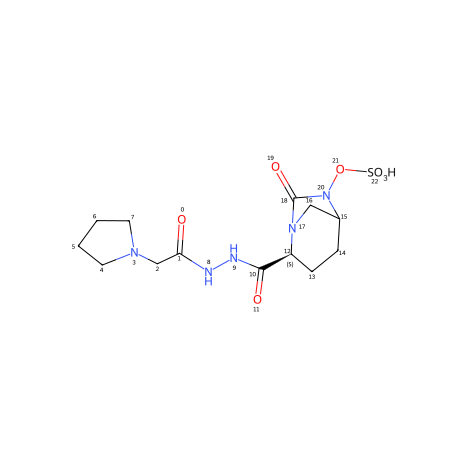 O=C(CN1CCCC1)NNC(=O)[C@@H]1CCC2CN1C(=O)N2OS(=O)(=O)O